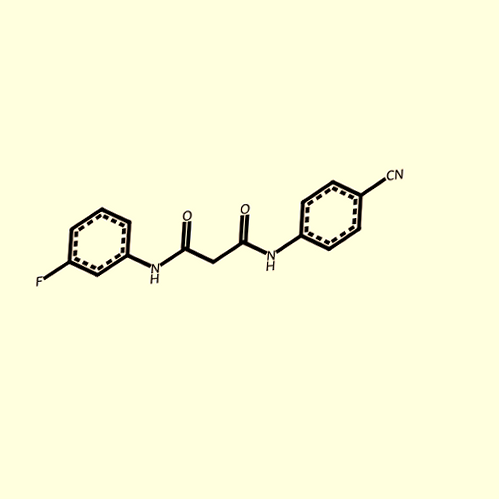 N#Cc1ccc(NC(=O)CC(=O)Nc2cccc(F)c2)cc1